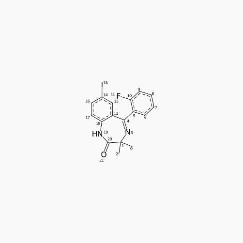 CC1(C)N=C(c2ccccc2F)c2cc(I)ccc2NC1=O